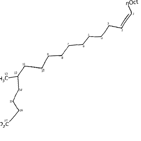 CCCCCCCC/C=C\CCCCCCCCCC(C)CCCC(=O)O